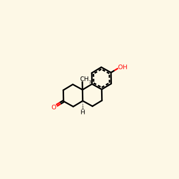 CC12CCC(=O)C[C@@H]1CCc1cc(O)ccc12